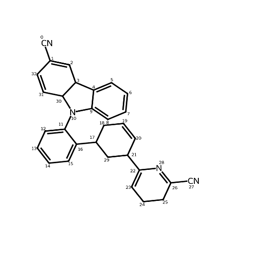 N#CC1=CC2c3ccccc3N(c3ccccc3C3CC=CC(C4=CCCC(C#N)=N4)C3)C2C=C1